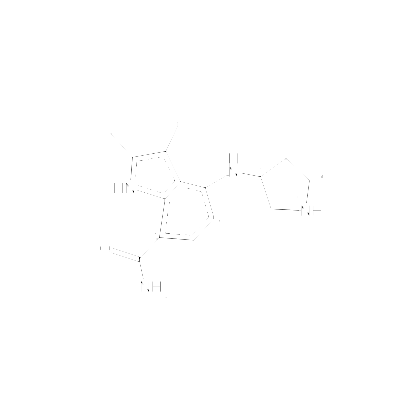 Cc1[nH]c2c(C(N)=O)ccc(NC3CCNC3)c2c1C